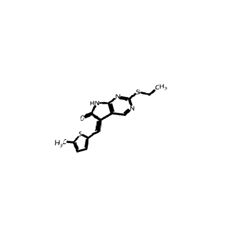 CCSc1ncc2c(n1)NC(=O)C2=Cc1ccc(C)s1